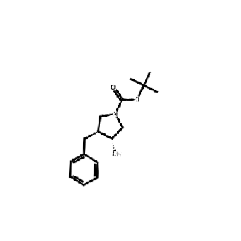 CC(C)(C)OC(=O)N1C[C@H](Cc2ccccc2)[C@@H](O)C1